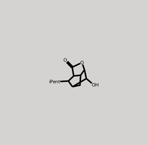 CCCC(C)C1C2CC3C(OC(=O)C31)C2O